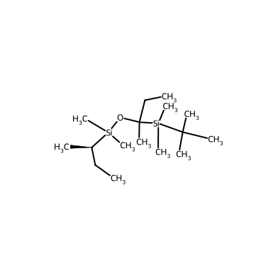 CC[C@@H](C)[Si](C)(C)OC(C)(CC)[Si](C)(C)C(C)(C)C